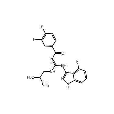 CC(C)CN/C(=N/C(=O)c1ccc(F)c(F)c1)Nc1n[nH]c2cccc(F)c12